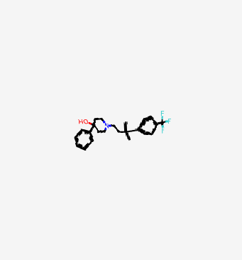 CC(C)(CCN1CCC(O)(c2ccccc2)CC1)c1ccc(C(F)(F)F)cc1